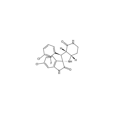 O=C1NCC[C@@H]2N[C@@]3(C(=O)Nc4cc(Cl)ccc43)[C@@H](c3cccc(Cl)c3F)[C@H]12